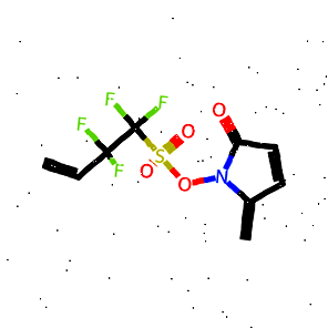 C=CC(F)(F)C(F)(F)S(=O)(=O)ON1C(=C)C=CC1=O